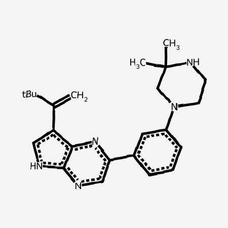 C=C(c1c[nH]c2ncc(-c3cccc(N4CCNC(C)(C)C4)c3)nc12)C(C)(C)C